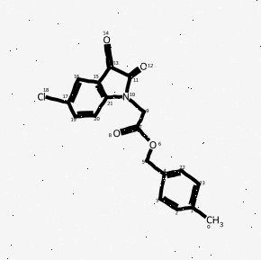 Cc1ccc(COC(=O)CN2C(=O)C(=O)c3cc(Cl)ccc32)cc1